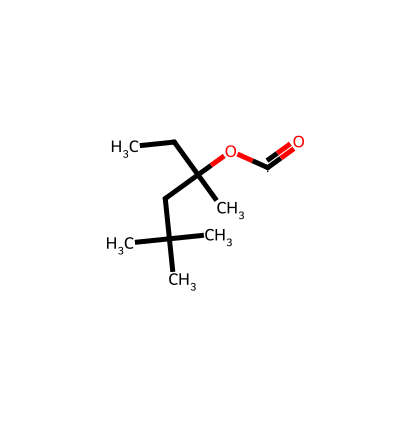 CCC(C)(CC(C)(C)C)O[C]=O